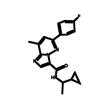 Cc1cc(-c2ccc(F)cc2)nn2c(C(=O)NC(C)C3CC3)cnc12